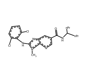 CCCC(CCC)NC(=O)c1cnc2c(c1)nc(Nc1c(Cl)cccc1Cl)n2C